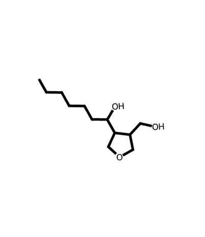 CCCCCCC(O)C1COCC1CO